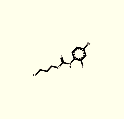 O=C(Nc1ccc(Br)cc1F)OCCCCl